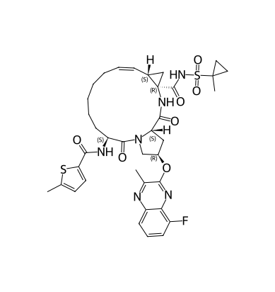 Cc1ccc(C(=O)N[C@H]2CCCCCC=C[C@@H]3C[C@@]3(C(=O)NS(=O)(=O)C3(C)CC3)NC(=O)[C@@H]3C[C@@H](Oc4nc5c(F)cccc5nc4C)CN3C2=O)s1